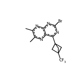 Cc1nc2nc(Br)nc(C34CC(C(F)(F)F)(C3)C4)c2nc1C